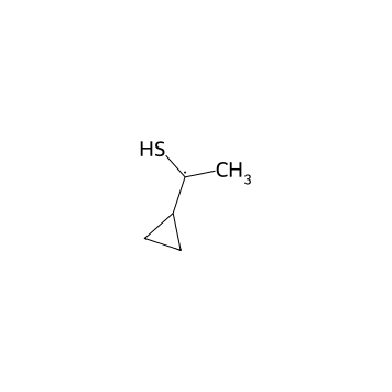 C[C](S)C1CC1